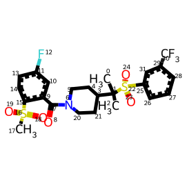 CC(C)(C1CCN(C(=O)c2cc(F)ccc2S(C)(=O)=O)CC1)S(=O)(=O)c1cccc(C(F)(F)F)c1